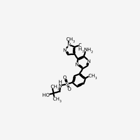 Cc1ccc(S(=O)(=O)NCC(C)(C)O)cc1-c1cnc(N)c(-c2cnn(C)c2C)n1